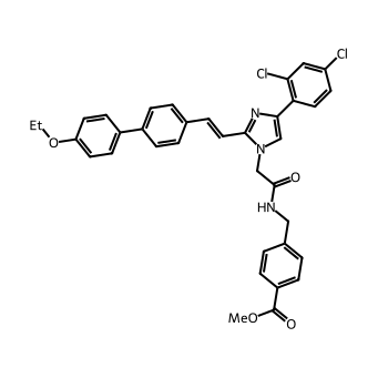 CCOc1ccc(-c2ccc(C=Cc3nc(-c4ccc(Cl)cc4Cl)cn3CC(=O)NCc3ccc(C(=O)OC)cc3)cc2)cc1